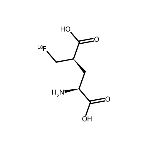 N[C@@H](C[C@@H](C[18F])C(=O)O)C(=O)O